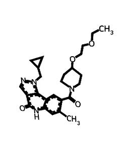 CCOCCOC1CCN(C(=O)c2cc3c(cc2C)[nH]c(=O)c2cnn(CC4CC4)c23)CC1